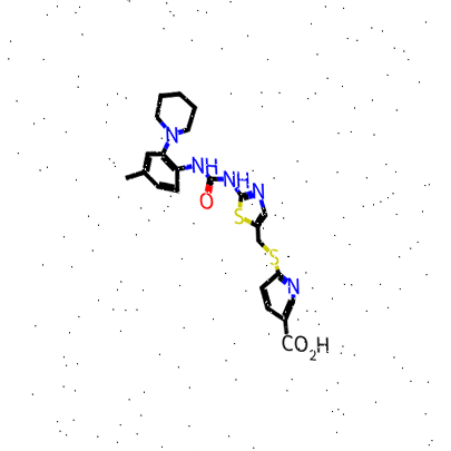 Cc1ccc(NC(=O)Nc2ncc(CSc3ccc(C(=O)O)cn3)s2)c(N2CCCCC2)c1